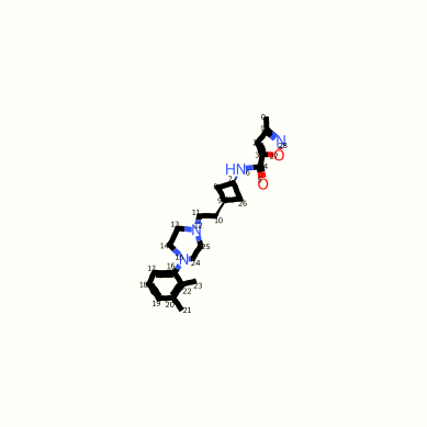 Cc1cc(C(=O)N[C@H]2C[C@H](CCN3CCN(c4cccc(C)c4C)CC3)C2)on1